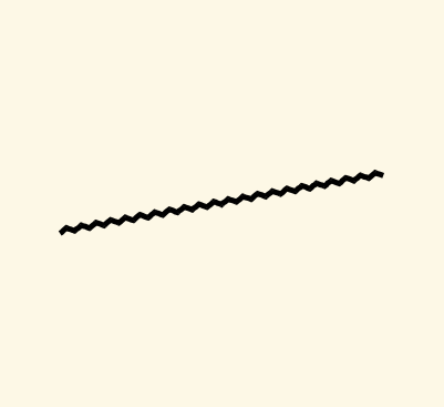 CCCCCCCCCCCCCCCCCCCCCC[CH]CCCCCCCCCCCCCCCCCCCCCC